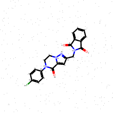 O=C1c2ccccc2C(=O)N1Cc1cc2n(n1)CCN(c1ccc(F)cc1)C2=O